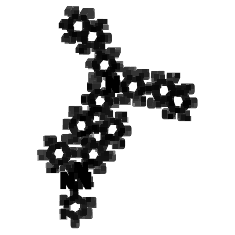 c1ccc(-c2nc(-c3ccccc3)n(-c3ccc(-c4ccccc4-c4ccccc4-c4ccc(N(c5ccc(-c6ccc7ccccc7c6)cc5)c5ccc(-c6ccc7ccccc7c6)cc5)cc4)cc3)n2)cc1